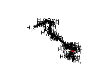 C=CC(NCC(=O)NCC(=O)NCCCC)C(=O)CN(CC(O)O)C(=O)CNC(O)CNC(C)(C)C(=O)CN(CC(=O)O)C(=O)CNC(=O)CNC(=O)CCCCC(=O)NO[C@@H]1OC(CO)[C@@H](O[C@@H]2OC(CO[C@]3(C(=O)O)CC(O)[C@@H](N[C@H](C)O)C(C(O)C(O)CO)O3)[C@H](O)C(O)C2O)C(O)C1NC(C)O